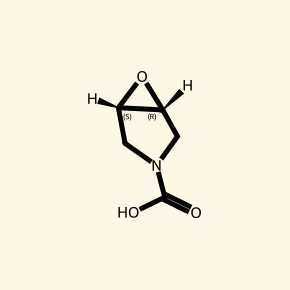 O=C(O)N1C[C@@H]2O[C@@H]2C1